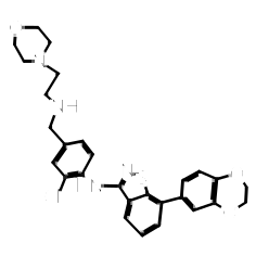 Clc1cc(CNCCN2CCOCC2)ccc1Nc1nsc2c(-c3ccc4c(c3)OCCO4)cccc12